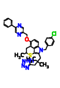 CC1Cc2c(OCc3cnc(-c4ccccc4)cn3)ccc3c2c(c(CC(C)(C)Cc2nnn[nH]2)n3Cc2ccc(Cl)cc2)S1